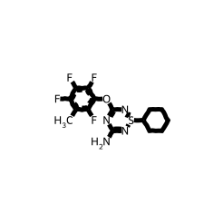 Cc1c(F)c(F)c(F)c(OC2=NC(N)=NS(C3CCCCC3)=N2)c1F